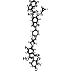 CC1(CN2CCC(n3cc4cc(NC(=O)c5cnn6cccnc56)c(OCC5CC5)cc4n3)CC2)CN(c2cc3c(cc2F)C(O)N(C2CCC(=O)NC2=O)C3=O)C1